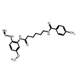 COc1ccc(NN=N)c(NC(=O)CCCCCNC(=O)c2ccc(C)cc2)c1